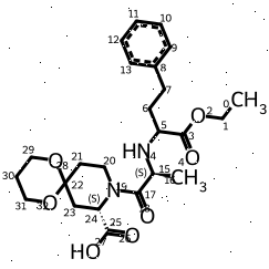 CCOC(=O)C(CCc1ccccc1)N[C@@H](C)C(=O)N1CCC2(C[C@H]1C(=O)O)OCCCO2